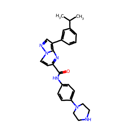 CC(C)c1cccc(-c2cnn3ccc(C(=O)Nc4ccc(N5CCNCC5)cc4)nc23)c1